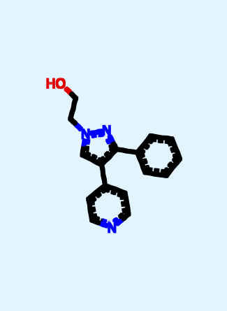 OCCn1cc(-c2ccncc2)c(-c2ccccc2)n1